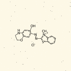 C[n+]1c(N=Nc2cc3c(cc2O)NCCO3)sc2ccccc21.[Cl-]